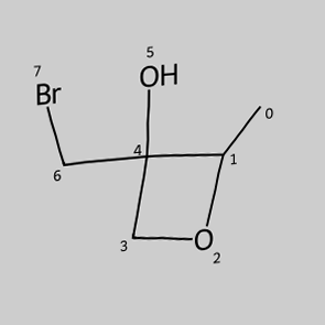 CC1OCC1(O)CBr